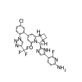 Nc1ccc(-c2cnc([C@@H]3[C@H]4CC[C@H]4c4cc(-c5cc(Cl)ccc5-n5cc(C(F)(F)F)nn5)cc(=O)n43)[nH]2)c(F)n1